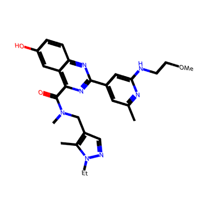 CCn1ncc(CN(C)C(=O)c2nc(-c3cc(C)nc(NCCOC)c3)nc3ccc(O)cc23)c1C